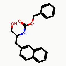 O=C(N[C@H](CO)Cc1ccc2ccccc2c1)OCc1ccccc1